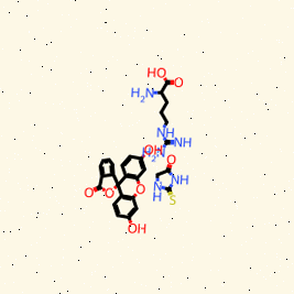 N=C(N)NCCCC(N)C(=O)O.O=C1CNC(=S)N1.O=C1OC2(c3ccc(O)cc3Oc3cc(O)ccc32)c2ccccc21